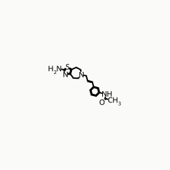 CC(=O)Nc1cccc(C=CCN2CCc3nc(N)sc3CC2)c1